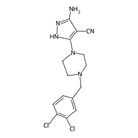 N#Cc1c(N)n[nH]c1N1CCN(Cc2ccc(Cl)c(Cl)c2)CC1